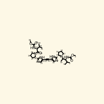 COC(=O)N[C@@H](C(C)C)C(C)N1CCC[C@H]1c1ncc(C#Cc2cnc([C@@H]3CCCN3C(=O)[C@@H](NC(=O)OC)C(C)C)[nH]2)[nH]1